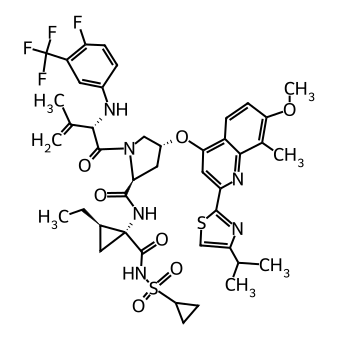 C=C(C)[C@H](Nc1ccc(F)c(C(F)(F)F)c1)C(=O)N1C[C@H](Oc2cc(-c3nc(C(C)C)cs3)nc3c(C)c(OC)ccc23)C[C@H]1C(=O)N[C@]1(C(=O)NS(=O)(=O)C2CC2)C[C@H]1CC